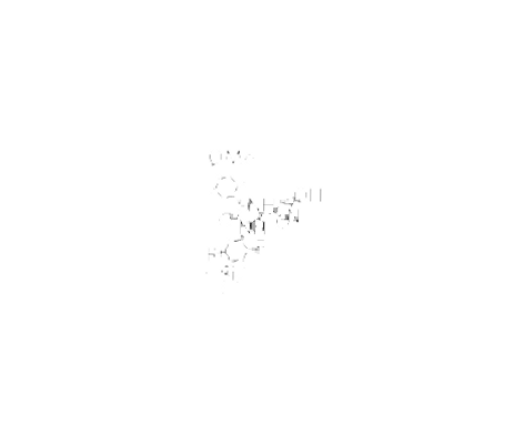 COCc1ccc([C@@H](NC(=O)c2cc(O)no2)C(=O)Nc2cc(F)c([Si](C)(C)C)cc2F)cc1